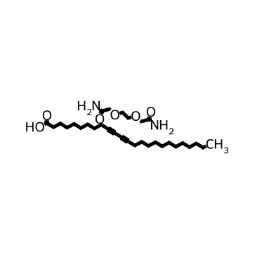 CCCCCCCCCCCCC#CC#CCCCCCCCCC(=O)O.NC(=O)COCCOCC(N)=O